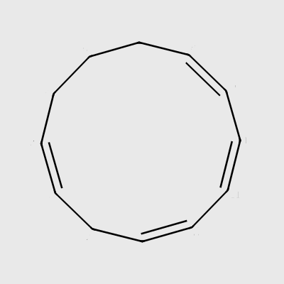 [C]1=CCC=CCCCC=CC=C1